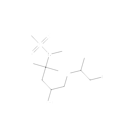 CCCC(COC(C)CF)CC(C)(C)N(C)S(C)(=O)=O